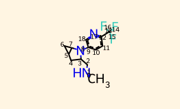 CNCC1CC2CC2N1c1ccc(C(F)(F)F)nc1